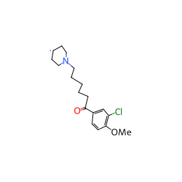 COc1ccc(C(=O)CCCCCN2CC[CH]CC2)cc1Cl